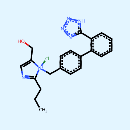 CCCC1=NC=C(CO)[N+]1(Cl)Cc1ccc(-c2ccccc2-c2nnn[nH]2)cc1